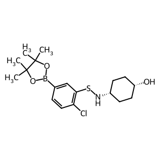 CC1(C)OB(c2ccc(Cl)c(SN[C@H]3CC[C@@H](O)CC3)c2)OC1(C)C